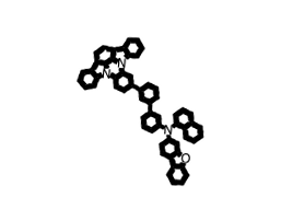 c1cc(-c2cccc(N(c3ccc4c(c3)oc3ccccc34)c3cccc4ccccc34)c2)cc(-c2ccc3c(c2)n2c4ccccc4c4ccc5c6ccccc6n3c5c42)c1